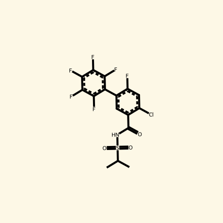 CC(C)S(=O)(=O)NC(=O)c1cc(-c2c(F)c(F)c(F)c(F)c2F)c(F)cc1Cl